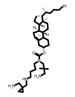 CC(C)CCC[C@@H](C)[C@H]1CC[C@H]2[C@@H]3CC=C4C[C@@H](OC(=O)N(CCCCNCC5(CN)CC5)CC(C)(C)CN)CC[C@]4(C)[C@H]3CC[C@]12C